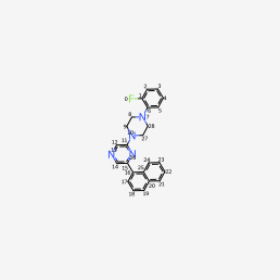 Fc1ccccc1N1CCN(c2cncc(-c3cccc4ccccc34)n2)CC1